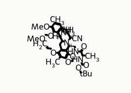 C=CCOc1c(C)c2c(c3c1CC1[C@H]4c5c(cc(C)c(OC)c5OCOC)C[C@@H]([C@H](C#N)N1[C@H]3CNC(=O)C(C)NC(=O)OC(C)(C)C)N4C)OCO2